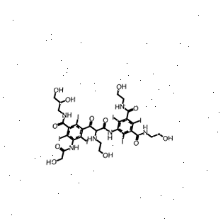 O=C(CO)Nc1c(I)c(C(=O)NCC(O)CO)c(I)c(C(=O)C(NCCO)C(=O)Nc2c(I)c(C(=O)NCCO)c(I)c(C(=O)NCCO)c2I)c1I